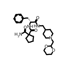 NC(=O)C1(C(=O)N[C@H](Cc2ccccc2)C(=O)NCC2CCN(CC3OCCCO3)CC2)CCCC1